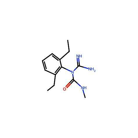 CCc1cccc(CC)c1N(C(=N)N)C(=O)NC